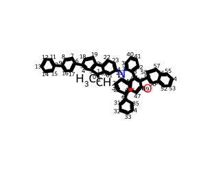 CC1(C)c2cc(-c3ccc(-c4ccccc4)cc3)ccc2-c2ccc(N(c3ccc(-c4ccccc4)cc3)c3ccccc3-c3cccc4oc5c6ccccc6ccc5c34)cc21